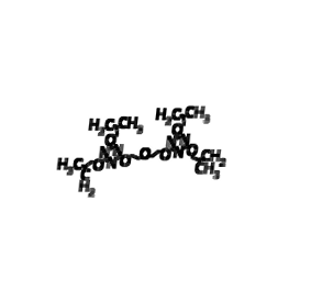 C=C(C)COc1nc(OCCOCCOc2nc(OCC(=C)C)nc(OCC(=C)C)n2)nc(OCC(=C)C)n1